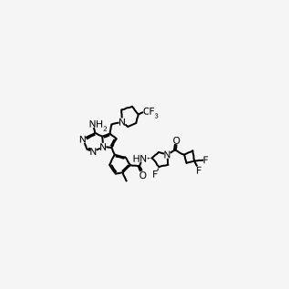 Cc1ccc(-c2cc(CN3CCC(C(F)(F)F)CC3)c3c(N)ncnn23)cc1C(=O)N[C@@H]1CN(C(=O)C2CC(F)(F)C2)C[C@@H]1F